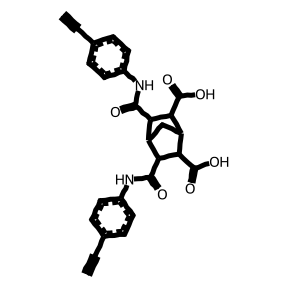 C#Cc1ccc(NC(=O)C2C3CC(C2C(=O)O)C(C(=O)O)C3C(=O)Nc2ccc(C#C)cc2)cc1